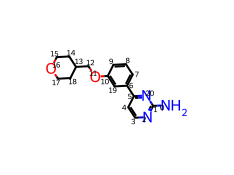 Nc1nccc(-c2cccc(OCC3CCOCC3)c2)n1